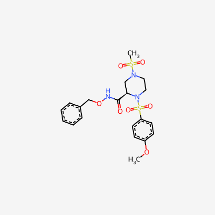 COc1ccc(S(=O)(=O)N2CCN(S(C)(=O)=O)C[C@@H]2C(=O)NOCc2ccccc2)cc1